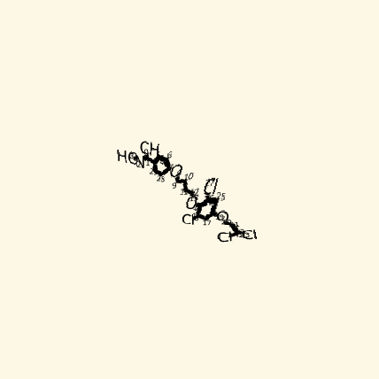 CC(=NO)c1ccc(OCCCCOc2c(Cl)cc(OCC=C(Cl)Cl)cc2Cl)cc1